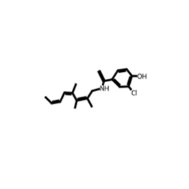 C=C(NC\C(C)=C(C)/C(C)=C\C=C/C)c1ccc(O)c(Cl)c1